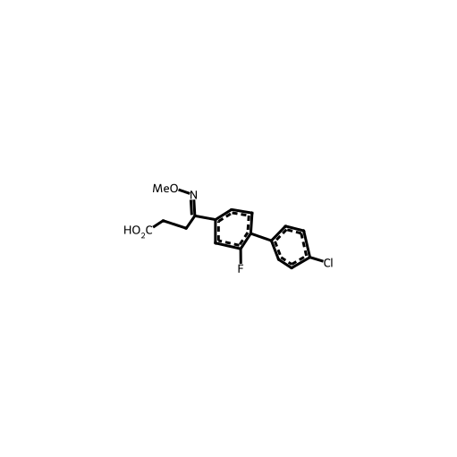 CO/N=C(\CCC(=O)O)c1ccc(-c2ccc(Cl)cc2)c(F)c1